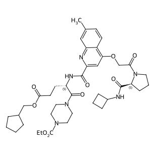 CCOC(=O)N1CCN(C(=O)[C@H](CCC(=O)OCC2CCCC2)NC(=O)c2cc(OCC(=O)N3CCC[C@H]3C(=O)NC3CCC3)c3ccc(C)cc3n2)CC1